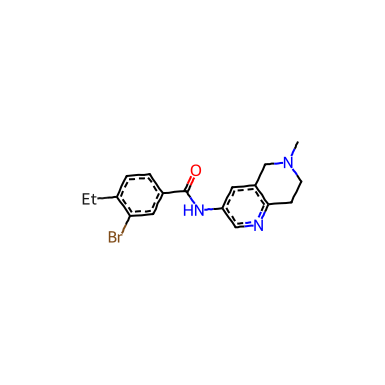 CCc1ccc(C(=O)Nc2cnc3c(c2)CN(C)CC3)cc1Br